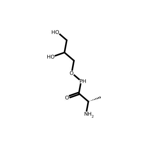 C[C@H](N)C(=O)POCC(O)CO